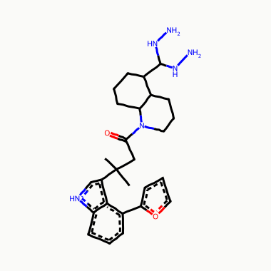 CC(C)(CC(=O)N1CCCC2C(C(NN)NN)CCCC21)c1c[nH]c2cccc(-c3ccco3)c12